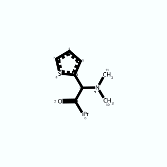 CC(C)C(=O)C(c1cccs1)N(C)C